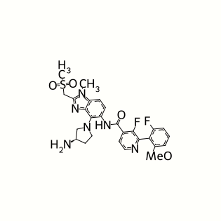 COc1cccc(F)c1-c1nccc(C(=O)Nc2ccc3c(nc(CS(C)(=O)=O)n3C)c2N2CC[C@@H](N)C2)c1F